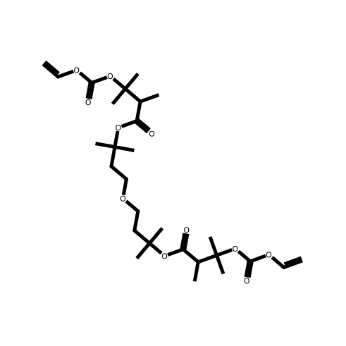 C=COC(=O)OC(C)(C)C(C)C(=O)OC(C)(C)CCOCCC(C)(C)OC(=O)C(C)C(C)(C)OC(=O)OC=C